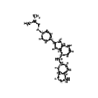 CN(C)CCc1ccc(-c2cc3c(Nc4ccc5[nH]ccc5c4)ccnc3s2)cc1